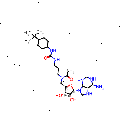 CC(=O)N(CCCNC(=O)NC1CCC(C(C)(C)C)CC1)C[C@H]1O[C@@H](N2CNC3C(N)NCNC32)[C@H](O)[C@@H]1O